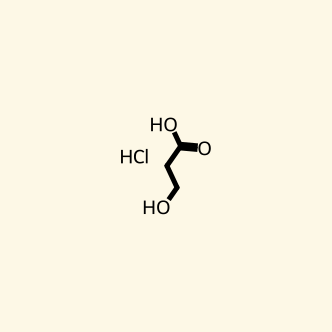 Cl.O=C(O)CCO